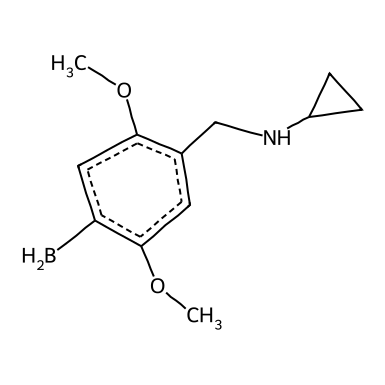 Bc1cc(OC)c(CNC2CC2)cc1OC